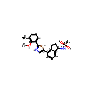 CCS(=O)(=O)NC1CCc2c(-c3cnc(-c4cccc(C#N)c4OC(C)C)s3)cccc21